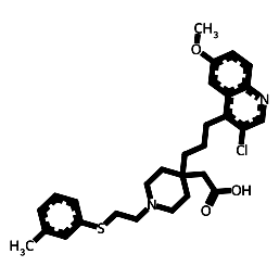 COc1ccc2ncc(Cl)c(CCCC3(CC(=O)O)CCN(CCSc4cccc(C)c4)CC3)c2c1